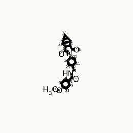 COc1ccc(C(=O)NCc2ccc(N3C(=O)C4C5C=CC(C6CC56)C4C3=O)cc2)cc1